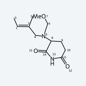 C/C=C(\C)CN(COC)C1CCC(=O)NC1=O